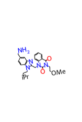 COCCn1c(=O)c2ccccc2n(Cc2nc3cc(CN)ccc3n2CCC(C)C)c1=O